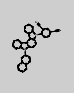 N#Cc1ccc(-n2c3ccccc3c3c4c5ccccc5n(-c5ccc6ccccc6c5)c4ccc32)c(C#N)c1